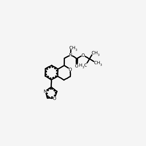 CN(CC1OCCc2c(-c3cocn3)cccc21)C(=O)OC(C)(C)C